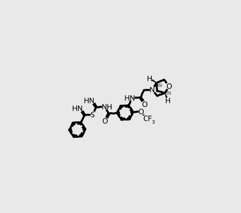 N=C(NC(=O)c1ccc(OC(F)(F)F)c(NC(=O)CN2C[C@@H]3C[C@H]2CO3)c1)SC(=N)c1ccccc1